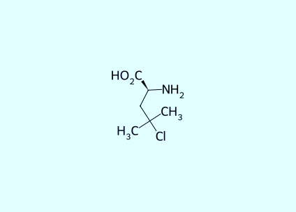 CC(C)(Cl)C[C@H](N)C(=O)O